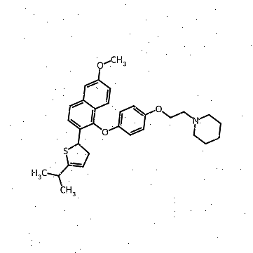 COc1ccc2c(Oc3ccc(OCCN4CCCCC4)cc3)c(C3CC=C(C(C)C)S3)ccc2c1